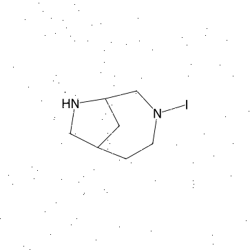 IN1CCC2CNC(C2)C1